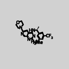 CNc1nc(N[C@H](C)c2cc(N)cc(C(F)(F)F)c2)c2cc(N3CCOCC3)ncc2n1